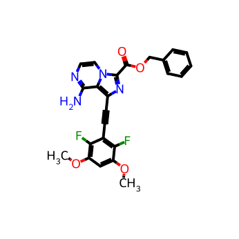 COc1cc(OC)c(F)c(C#Cc2nc(C(=O)OCc3ccccc3)n3ccnc(N)c23)c1F